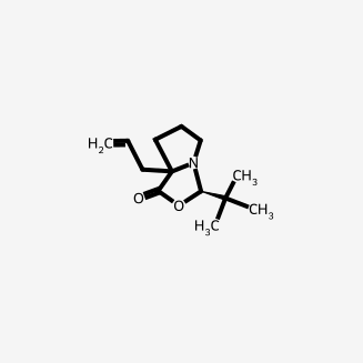 C=CCC12CCCN1[C@@H](C(C)(C)C)OC2=O